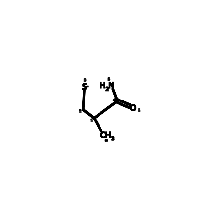 CC(C[S])C(N)=O